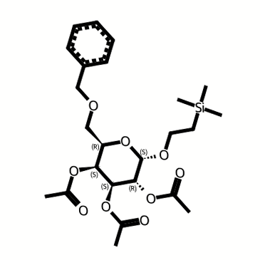 CC(=O)O[C@H]1[C@@H](OC(C)=O)[C@@H](COCc2ccccc2)O[C@H](OCC[Si](C)(C)C)[C@@H]1OC(C)=O